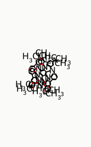 CC(C)(C)c1ccc2c(c1)c1ccccc1n2-c1c(C#N)c(-n2c3ccccc3c3cc(C(C)(C)C)ccc32)c(-n2c3ccccc3c3cc(C(C)(C)C)ccc32)c(-n2c3ccccc3c3cc(C(C)(C)C)ccc32)c1-c1nc(-c2ccccc2)nc(-c2ccccc2)n1